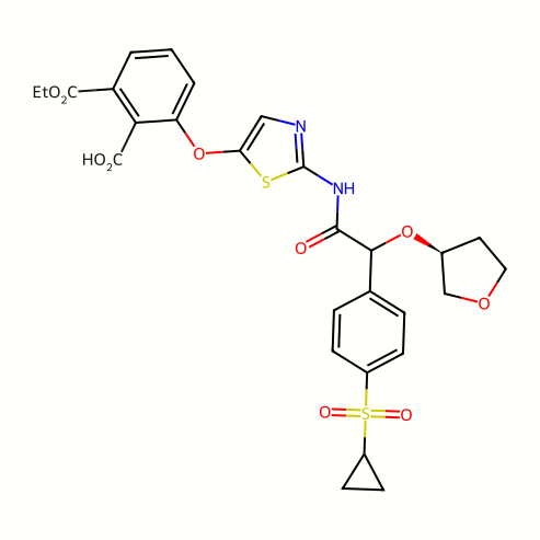 CCOC(=O)c1cccc(Oc2cnc(NC(=O)C(O[C@H]3CCOC3)c3ccc(S(=O)(=O)C4CC4)cc3)s2)c1C(=O)O